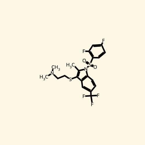 Cc1c(SCCN(C)C)c2cc(C(F)(F)F)ccc2n1S(=O)(=O)c1ccc(F)cc1F